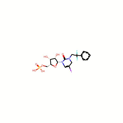 O=C1N(CC(F)(F)c2ccccc2)CC(I)=CN1[C@@H]1O[C@H](COP(=O)(O)O)[C@H](O)[C@@H]1O